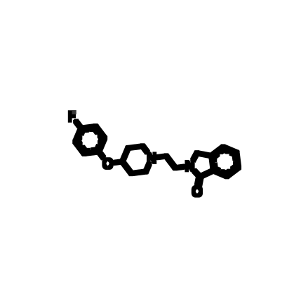 O=C1c2ccccc2CN1CCN1CCC(Oc2ccc(F)cc2)CC1